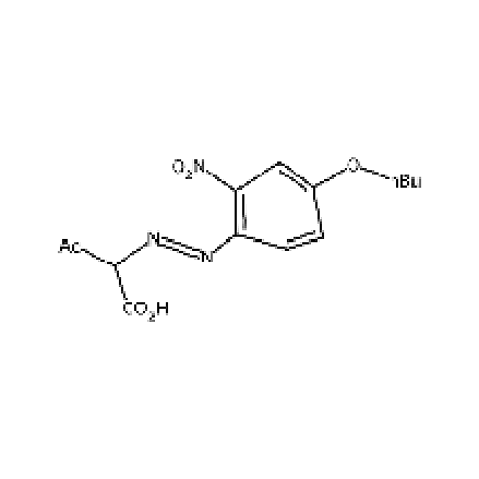 CCCCOc1ccc(N=NC(C(C)=O)C(=O)O)c([N+](=O)[O-])c1